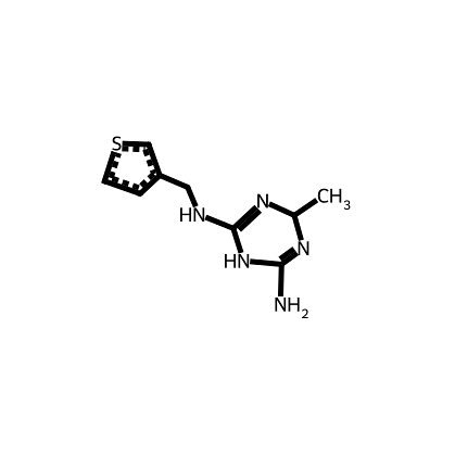 CC1N=C(N)NC(NCc2ccsc2)=N1